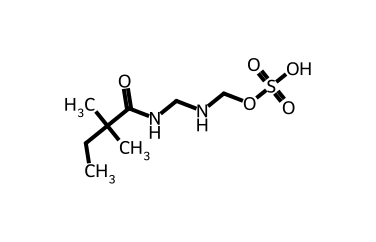 CCC(C)(C)C(=O)NCNCOS(=O)(=O)O